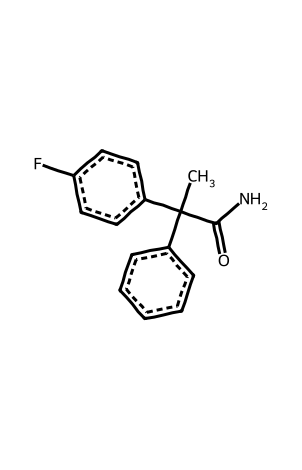 CC(C(N)=O)(c1ccccc1)c1ccc(F)cc1